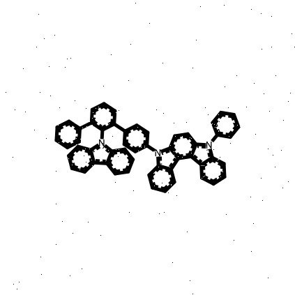 c1ccc(-c2cccc(-c3ccc(-n4c5ccccc5c5c6c7ccccc7n(-c7ccccc7)c6ccc54)cc3)c2-n2c3ccccc3c3ccccc32)cc1